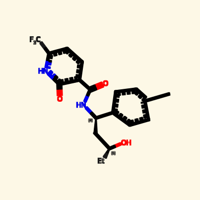 CC[C@H](O)C[C@@H](NC(=O)c1ccc(C(F)(F)F)[nH]c1=O)c1ccc(C)cc1